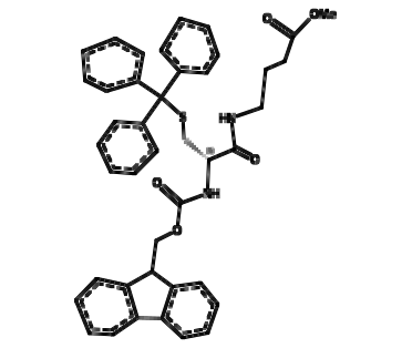 COC(=O)CCCNC(=O)[C@@H](CSC(c1ccccc1)(c1ccccc1)c1ccccc1)NC(=O)OCC1c2ccccc2-c2ccccc21